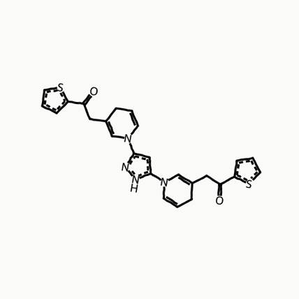 O=C(CC1=CN(c2cc(N3C=CCC(CC(=O)c4cccs4)=C3)[nH]n2)C=CC1)c1cccs1